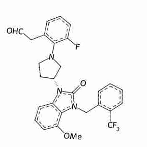 COc1cccc2c1n(Cc1ccccc1C(F)(F)F)c(=O)n2[C@@H]1CCN(c2c(F)cccc2CC=O)C1